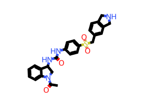 CC(=O)N1CC(NC(=O)Nc2ccc(S(=O)(=O)Cc3ccc4c(c3)CNC4)cc2)c2ccccc21